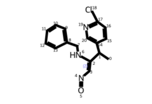 CC(/C(=C/N=O)NCc1ccccc1)c1ccc(Cl)nc1